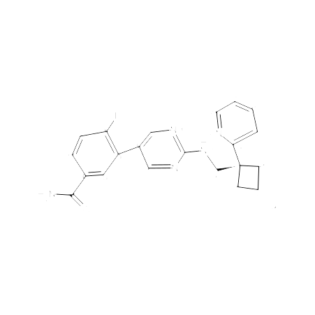 NC(=O)c1ccc(F)c(-c2cnc(NC[C@]3(c4ccccn4)C[C@@H](F)C3)nc2)c1